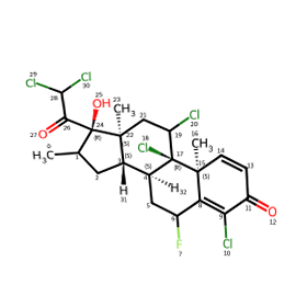 CC1C[C@H]2[C@@H]3CC(F)C4=C(Cl)C(=O)C=C[C@]4(C)[C@@]3(Cl)C(Cl)C[C@]2(C)[C@@]1(O)C(=O)C(Cl)Cl